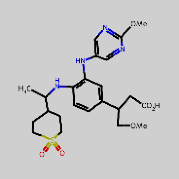 COCC(CC(=O)O)c1ccc(NC(C)C2CCS(=O)(=O)CC2)c(Nc2cnc(OC)nc2)c1